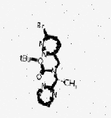 C[C@H](c1ncccn1)N(Cc1ccc(Br)nn1)C(=O)OC(C)(C)C